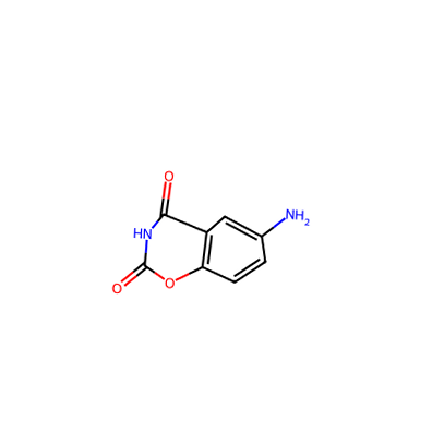 Nc1ccc2oc(=O)[nH]c(=O)c2c1